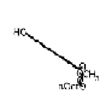 C#CC#CC#CC#CC#CC#CC#CC#CC#CC(=O)OC(C)COC(=O)CCCCCCCC